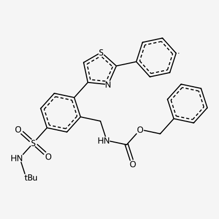 CC(C)(C)NS(=O)(=O)c1ccc(-c2csc(-c3cc[c]cc3)n2)c(CNC(=O)OCc2ccccc2)c1